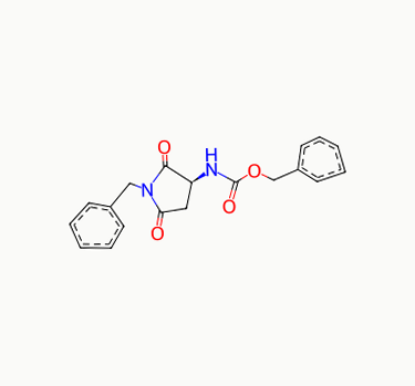 O=C(N[C@H]1CC(=O)N(Cc2ccccc2)C1=O)OCc1ccccc1